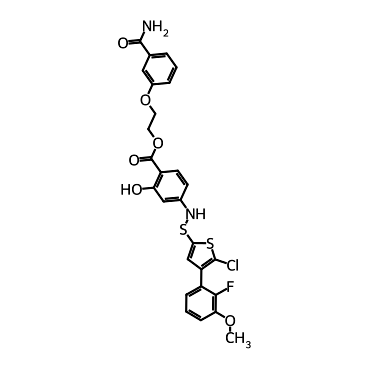 COc1cccc(-c2cc(SNc3ccc(C(=O)OCCOc4cccc(C(N)=O)c4)c(O)c3)sc2Cl)c1F